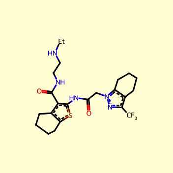 CCNCCNC(=O)c1c(NC(=O)Cn2nc(C(F)(F)F)c3c2CCCC3)sc2c1CCCC2